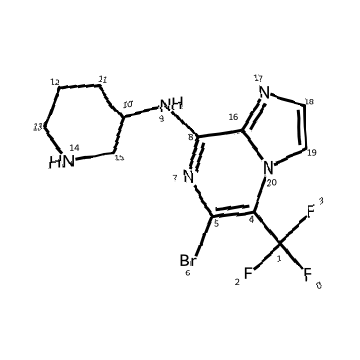 FC(F)(F)c1c(Br)nc(NC2CCCNC2)c2nccn12